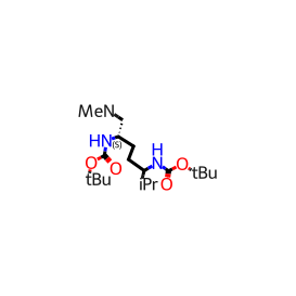 CNC[C@H](CCC(NC(=O)OC(C)(C)C)C(C)C)NC(=O)OC(C)(C)C